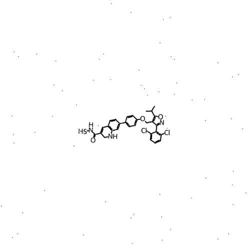 CC(C)c1onc(-c2c(Cl)cccc2Cl)c1COc1ccc(-c2ccc3c(c2)NCC(C(=O)NS)=C3)cc1